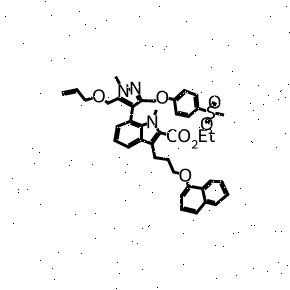 C=CCOCc1c(-c2cccc3c(CCCOc4cccc5ccccc45)c(C(=O)OCC)n(C)c23)c(COc2ccc(S(C)(=O)=O)cc2)nn1C